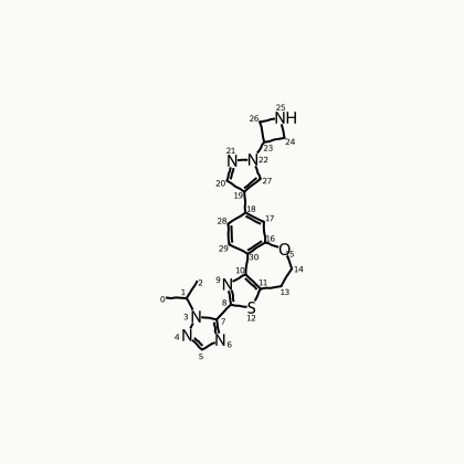 CC(C)n1ncnc1-c1nc2c(s1)CCOc1cc(-c3cnn(C4CNC4)c3)ccc1-2